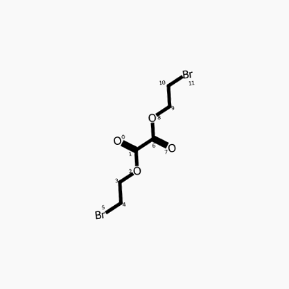 O=C(OCCBr)C(=O)OCCBr